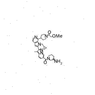 COCC(=O)N1CCC(c2nccc3cc(-c4nn5cc(C(=O)N6CCC[C@@H](N)C6)ccc5c4C)n(CC4CC4)c23)CC1